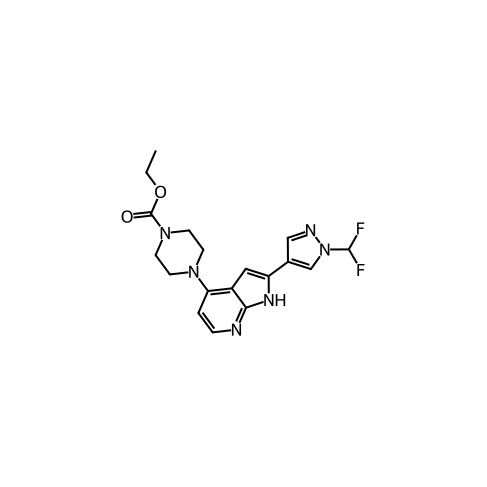 CCOC(=O)N1CCN(c2ccnc3[nH]c(-c4cnn(C(F)F)c4)cc23)CC1